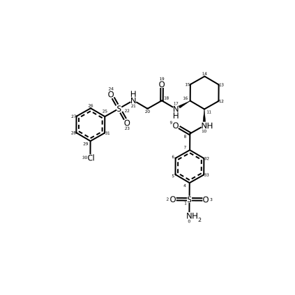 NS(=O)(=O)c1ccc(C(=O)N[C@@H]2CCCC[C@@H]2NC(=O)CNS(=O)(=O)c2cccc(Cl)c2)cc1